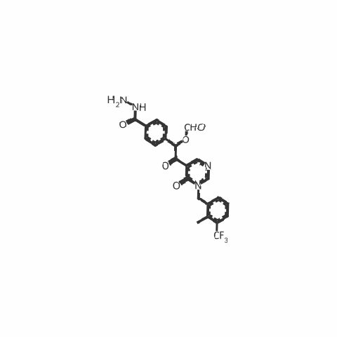 Cc1c(Cn2cncc(C(=O)C(OC=O)c3ccc(C(=O)NN)cc3)c2=O)cccc1C(F)(F)F